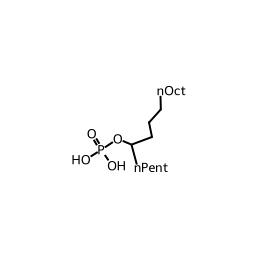 CCCCCCCCCCCC(CCCCC)OP(=O)(O)O